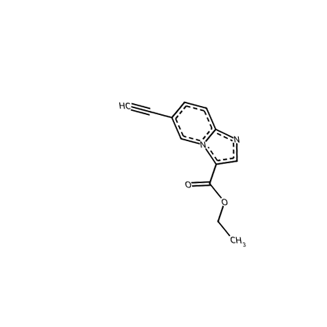 C#Cc1ccc2ncc(C(=O)OCC)n2c1